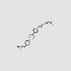 C=CCCOCc1ccc(C2CCC(C3CCC(C=C)CC3)CC2)cc1